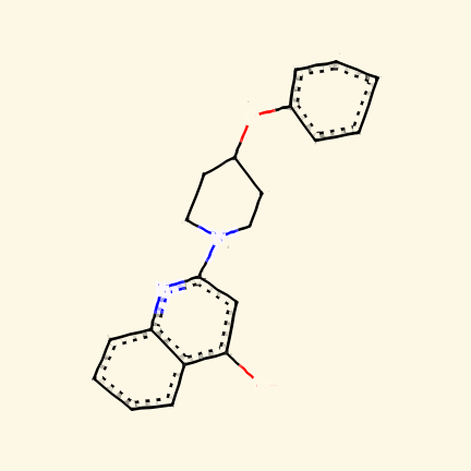 Oc1cc(N2CCC(Oc3ccccc3)CC2)nc2ccccc12